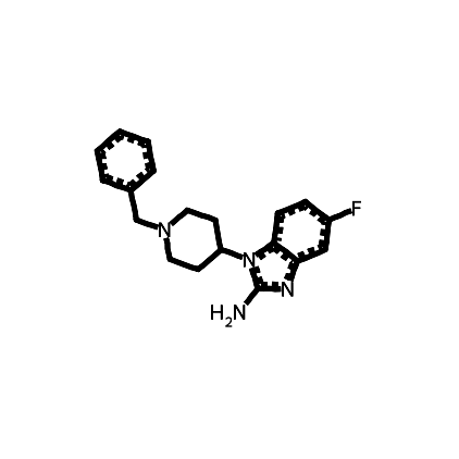 Nc1nc2cc(F)ccc2n1C1CCN(Cc2ccccc2)CC1